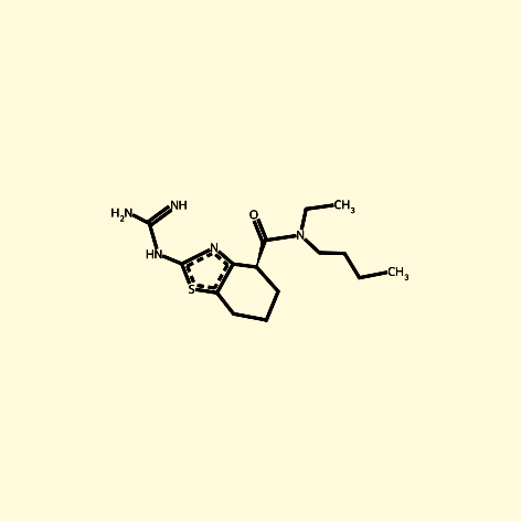 CCCCN(CC)C(=O)[C@H]1CCCc2sc(NC(=N)N)nc21